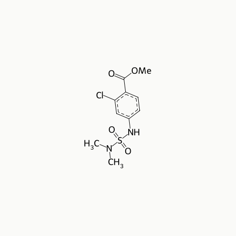 COC(=O)c1ccc(NS(=O)(=O)N(C)C)cc1Cl